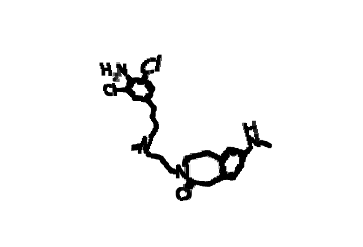 CNc1ccc2c(c1)CCN(CCCN(C)CCCc1cc(Cl)c(N)c(Cl)c1)C(=O)C2